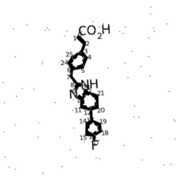 O=C(O)/C=C/c1ccc(Cc2nc3cc(-c4ccc(F)cc4)ccc3[nH]2)cc1